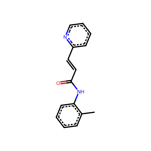 Cc1ccccc1NC(=O)/C=C/c1ccccn1